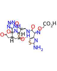 Nc1nc(/C(=N/OCC(=O)O)C(=O)NC[C@@H]2C(=O)N3[C@@H]2[S@@+]([O-])C[C@@H]2CC(=O)O[C@@]23c2nnn[nH]2)cs1